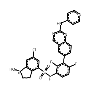 O=S(=O)(Nc1ccc(F)c(-c2ccc3nc(Nc4ccncc4)ncc3c2)c1F)c1cc(Cl)cc2c1CC[C@H]2O